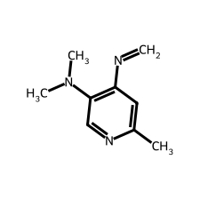 C=Nc1cc(C)ncc1N(C)C